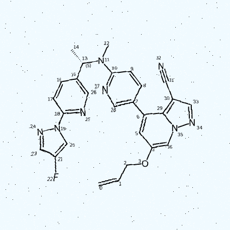 C=CCOc1cc(-c2ccc(N(C)[C@@H](C)c3ccc(-n4cc(F)cn4)nc3)nc2)c2c(C#N)cnn2c1